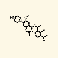 COc1cc2c(NC(C)c3cccc(C(F)F)c3F)nc(C)nc2cc1N1CCNCC1